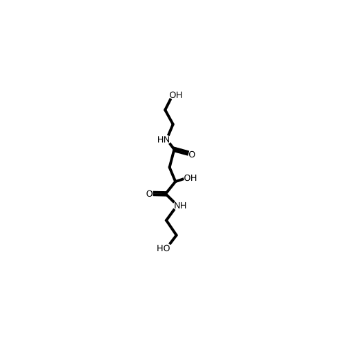 O=C(CC(O)C(=O)NCCO)NCCO